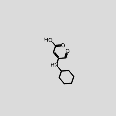 O=[C]C(=CC(=O)O)NC1CCCCC1